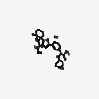 CC(=O)N(OC1CCNCC1)c1cccc(-c2ccc([C@@]3(CC(=O)NO)CCCCS3(=O)=O)s2)c1.Cl